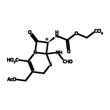 CC(=O)OCC1=C(C(=O)O)N2C(=O)[C@H](NC(=O)OCC(Cl)(Cl)Cl)C2(NC=O)SC1